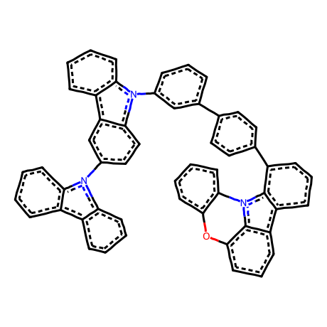 c1cc(-c2ccc(-c3cccc4c5cccc6c5n(c34)-c3ccccc3O6)cc2)cc(-n2c3ccccc3c3cc(-n4c5ccccc5c5ccccc54)ccc32)c1